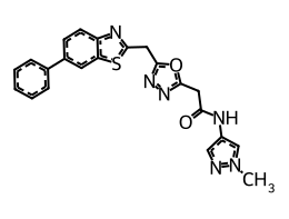 Cn1cc(NC(=O)Cc2nnc(Cc3nc4ccc(-c5ccccc5)cc4s3)o2)cn1